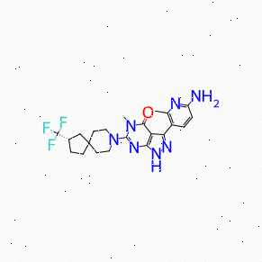 Cc1nc(N)ccc1-c1n[nH]c2nc(N3CCC4(CC[C@H](C(F)(F)F)C4)CC3)n(C)c(=O)c12